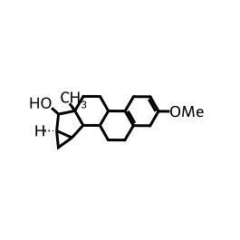 COC1=CCC2=C(CCC3C2CCC2(C)C3C3C[C@H]3C2O)C1